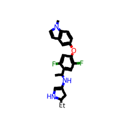 CCC1CC(NC(C)c2cc(F)c(Oc3ccc4c(ccn4C)c3)cc2F)=CN1